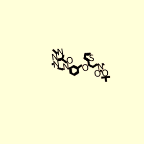 Cc1ncc2c(n1)N(C)CCN(c1cccc(COC(CCN(C)C(=O)OC(C)(C)C)c3cccs3)c1)C2=O